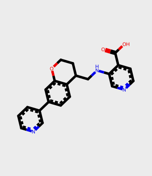 O=C(O)c1ccncc1NCC1CCOc2cc(-c3cccnc3)ccc21